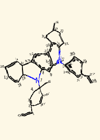 C=CC1=CCC(C)(N2c3cc4c(cc3C3C=CC=CC32)c2c(n4-c3ccc(C=C)cc3)C=CC(C)C2)C=C1